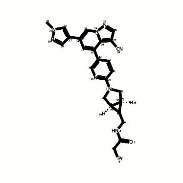 CC(C)CC(=O)NCC1[C@H]2CN(c3ccc(-c4cc(-c5cnn(C)c5)cn5ncc(C#N)c45)cn3)C[C@@H]12